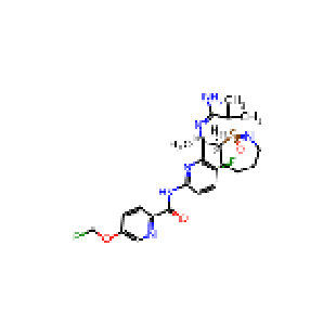 CC1(C)C(N)=N[C@](C)(c2nc(NC(=O)c3ccc(OCF)cn3)ccc2F)[C@@H]2CCCCN=[S@]21=O